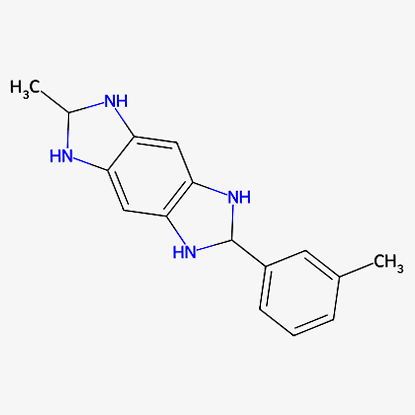 Cc1cccc(C2Nc3cc4c(cc3N2)NC(C)N4)c1